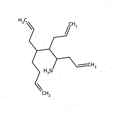 C=CCCC(CC=C)C(CC=C)C([SiH3])CC=C